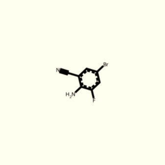 N#Cc1cc(Br)cc(F)c1N